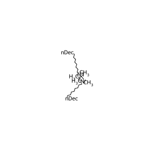 CCCCCCCCCCCCCCCCCC[N+](C)(C)CC(I)(I)[N+](C)(C)CCCCCCCCCCCCCCCCCC